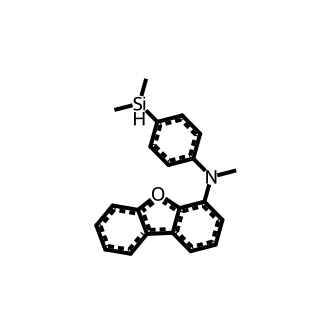 CN(c1ccc([SiH](C)C)cc1)c1cccc2c1oc1ccccc12